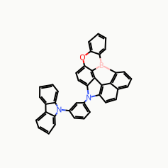 c1cc(-n2c3ccccc3c3ccccc32)cc(-n2c3ccc4c5c3c3c6c(cccc6ccc32)B5c2ccccc2O4)c1